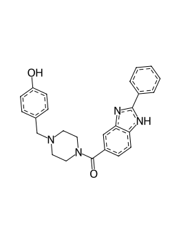 O=C(c1ccc2[nH]c(-c3ccccc3)nc2c1)N1CCN(Cc2ccc(O)cc2)CC1